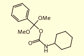 COC(OC)(OC(=O)NC1CCCCC1)c1ccccc1